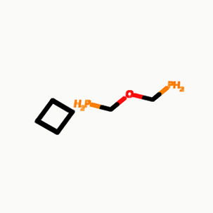 C1CCC1.PCOCP